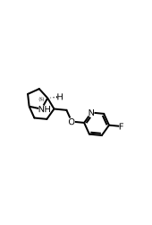 Fc1ccc(OCC2CCC3CC[C@@H]2N3)nc1